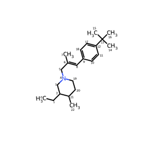 CCC1CN(CC(C)=Cc2ccc(C(C)(C)C)cc2)CCC1C